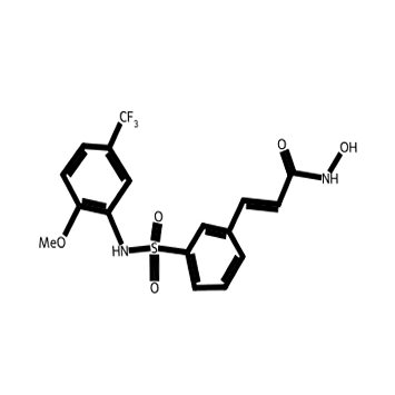 COc1ccc(C(F)(F)F)cc1NS(=O)(=O)c1cccc(C=CC(=O)NO)c1